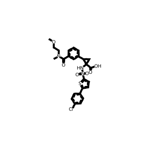 COCCN(C)C(=O)c1cccc(C2CC2(NS(=O)(=O)c2ccc(-c3ccc(Cl)cc3)s2)C(=O)O)c1